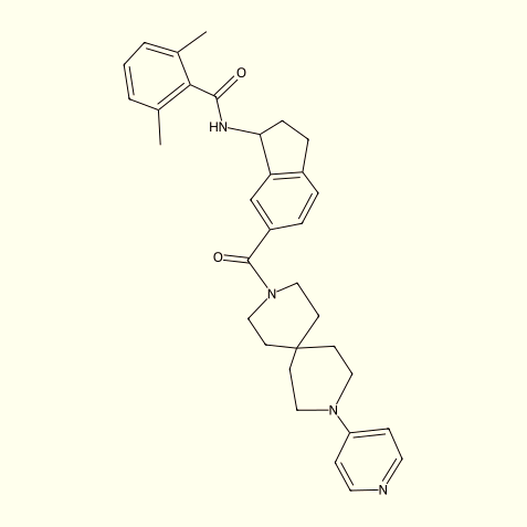 Cc1cccc(C)c1C(=O)NC1CCc2ccc(C(=O)N3CCC4(CC3)CCN(c3ccncc3)CC4)cc21